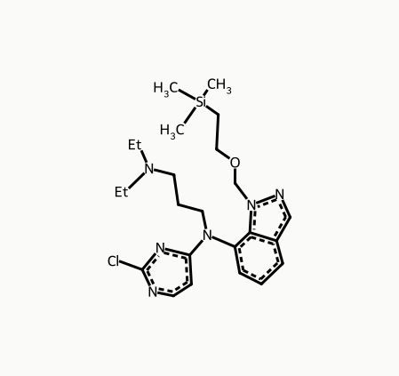 CCN(CC)CCCN(c1ccnc(Cl)n1)c1cccc2cnn(COCC[Si](C)(C)C)c12